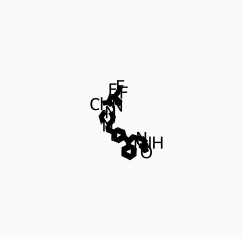 O=c1[nH]nc2cc(-c3ccc(CN4CCCN(c5ncc(C(F)(F)F)cc5Cl)CC4)cc3)c3ccccc3n12